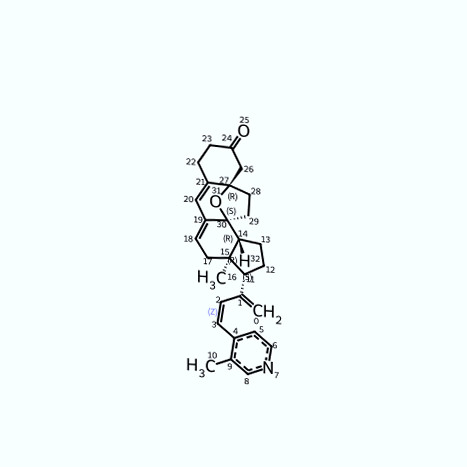 C=C(/C=C\c1ccncc1C)[C@H]1CC[C@@H]2[C@]1(C)CC=C1C=C3CCC(=O)C[C@]34CC[C@@]12O4